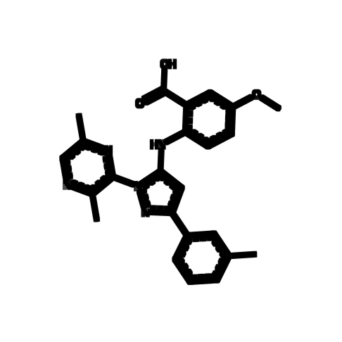 COc1ccc(Nc2cc(-c3cccc(C)c3)nn2-c2nc(C)cnc2C)c(C(=O)O)c1